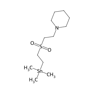 [CH3][Sn]([CH3])([CH3])[CH2]CS(=O)(=O)CCN1CCCCC1